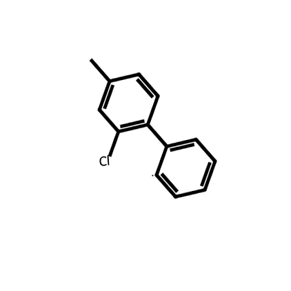 Cc1ccc(-c2[c]cccc2)c(Cl)c1